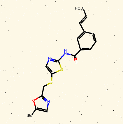 CC(C)(C)c1cnc(CSc2cnc(NC(=O)c3cccc(C=CC(=O)O)c3)s2)o1